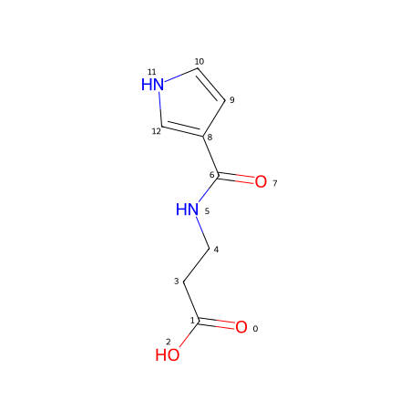 O=C(O)CCNC(=O)c1cc[nH]c1